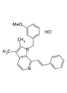 COc1cccc(Cn2c(C)c(C)c3ccnc(C=Cc4ccccc4)c32)c1.Cl